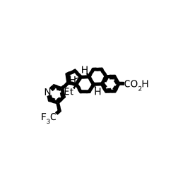 CC[C@]12CC[C@@H]3c4ccc(C(=O)O)cc4CC[C@H]3[C@@H]1CC=C2c1cncc(CC(F)(F)F)c1